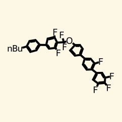 CCCCc1ccc(-c2cc(F)c(C(F)(F)Oc3ccc(-c4ccc(-c5cc(F)c(F)c(F)c5)c(F)c4)cc3)c(F)c2)cc1